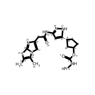 CCCNC(=O)OC1CC[C@@H](c2cc(NC(=O)Cc3cn4c(C)c(C)sc4n3)n[nH]2)C1